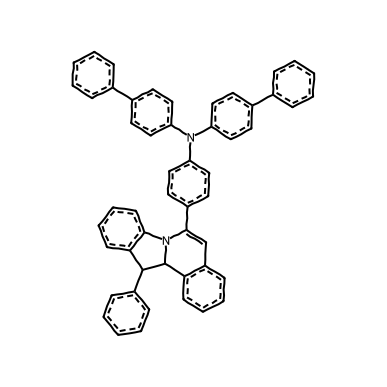 C1=C(c2ccc(N(c3ccc(-c4ccccc4)cc3)c3ccc(-c4ccccc4)cc3)cc2)N2c3ccccc3C(c3ccccc3)C2c2ccccc21